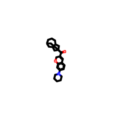 O=C(C1=Cc2ccc(N3CCCCC3)cc2OC1)C12CC3CCCC(C1)C(C3)C2